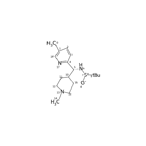 Cc1ccc([C@H](N[S+]([O-])C(C)(C)C)C2CCN(C)CC2)nc1